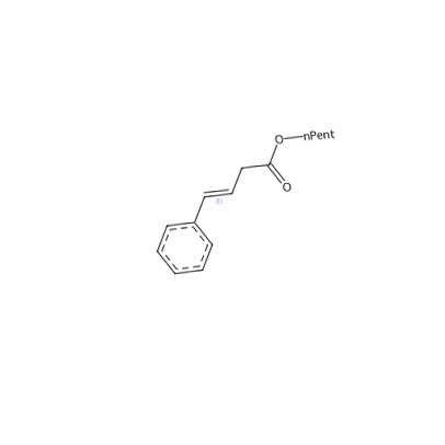 CCCCCOC(=O)C/C=C/c1ccccc1